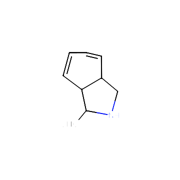 O=CC1NCC2C=CC=CC21